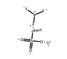 CCCCCS(=O)(=O)[O-].FB(F)F.[Li+]